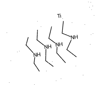 CCNCC.CCNCC.CCNCC.CCNCC.[Ti]